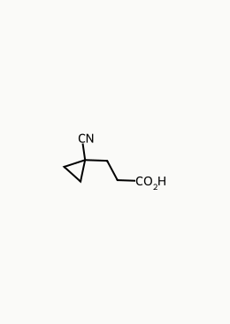 N#CC1(CCC(=O)O)CC1